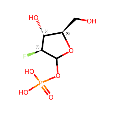 O=P(O)(O)OC1O[C@H](CO)[C@@H](O)[C@@H]1F